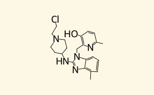 Cc1ccc(O)c(Cn2c(NC3CCN(CCCl)CC3)nc3c(C)cccc32)n1